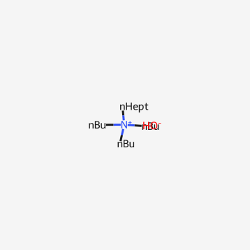 CCCCCCC[N+](CCCC)(CCCC)CCCC.[OH-]